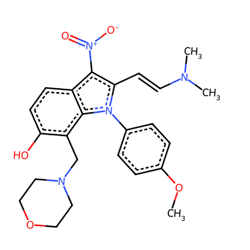 COc1ccc(-n2c(C=CN(C)C)c([N+](=O)[O-])c3ccc(O)c(CN4CCOCC4)c32)cc1